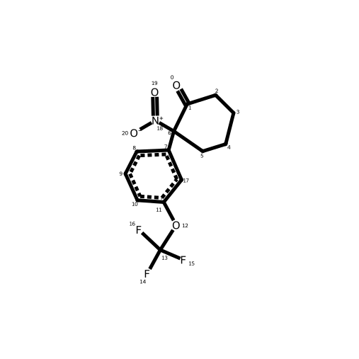 O=C1CCCCC1(c1cccc(OC(F)(F)F)c1)[N+](=O)[O-]